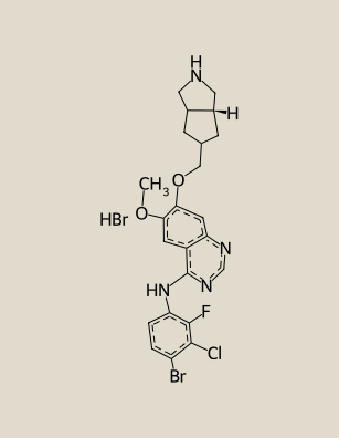 Br.COc1cc2c(Nc3ccc(Br)c(Cl)c3F)ncnc2cc1OCC1CC2CNC[C@@H]2C1